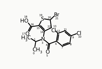 CC(C)N(C(=O)c1ccc(Cl)cc1Cl)C1=C(C(=O)O)SC(Br)C1